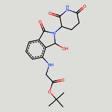 CC(C)(C)OC(=O)CNc1cccc2c1C(O)N(C1CCC(=O)NC1=O)C2=O